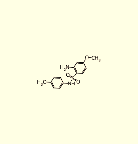 COc1ccc(S(=O)(=O)Nc2ccc(C)cc2)c(N)c1